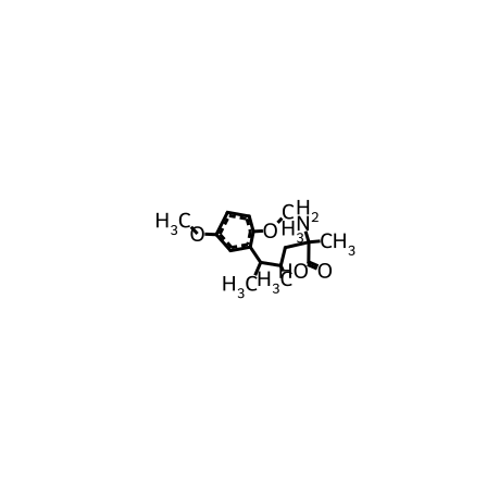 COc1ccc(OC)c(C(C)C(C)CC(C)(N)C(=O)O)c1